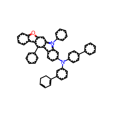 C1=CCCC(c2cccc(N(c3ccc(-c4ccccc4)cc3)c3ccc4c5c(-c6ccccc6)c6c(cc5n(-c5ccccc5)c4c3)oc3ccccc36)c2)=C1